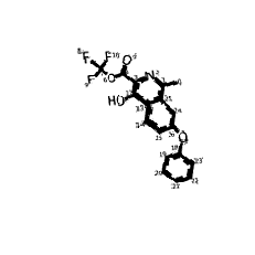 Cc1nc(C(=O)OC(F)(F)F)c(O)c2ccc(Oc3ccccc3)cc12